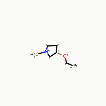 CC(C)CO[C@H]1CCN(C)C1